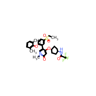 CCS(=O)(=O)c1ccc(Oc2c(C)cccc2C)c(-c2cn(C)c(=O)cc2O[C@H]2CC[C@H](NC(=O)C(F)(F)F)CC2)c1